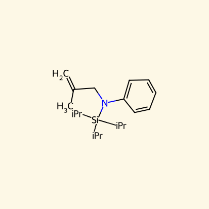 C=C(C)CN(c1ccccc1)[Si](C(C)C)(C(C)C)C(C)C